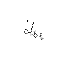 NC(=O)c1ccc2nc(C3=CCCC=C3)c(CCCCC(=O)O)nc2c1